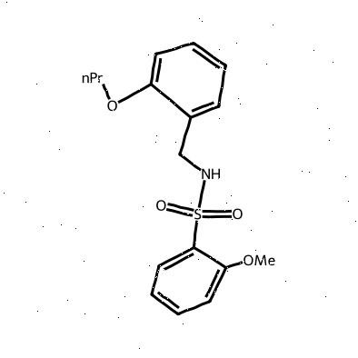 CCCOc1ccccc1CNS(=O)(=O)c1ccccc1OC